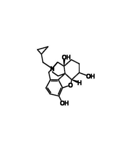 Oc1ccc2c3c1O[C@H]1C(O)CC[C@@]4(O)C(C2)N(CC2CC2)CCC314